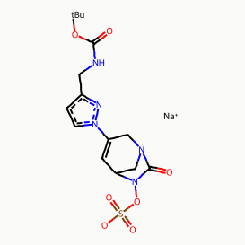 CC(C)(C)OC(=O)NCc1ccn(C2=CC3CN(C2)C(=O)N3OS(=O)(=O)[O-])n1.[Na+]